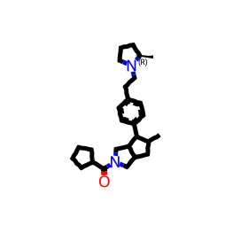 CC1CC2CN(C(=O)C3CCCC3)CC2C1c1ccc(CCN2CCC[C@H]2C)cc1